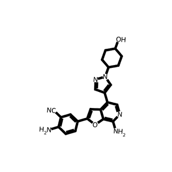 N#Cc1cc(-c2cc3c(-c4cnn(C5CCC(O)CC5)c4)cnc(N)c3o2)ccc1N